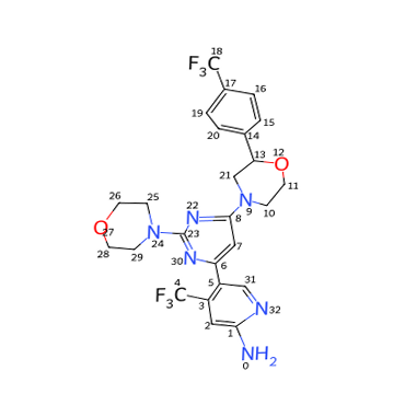 Nc1cc(C(F)(F)F)c(-c2cc(N3CCOC(c4ccc(C(F)(F)F)cc4)C3)nc(N3CCOCC3)n2)cn1